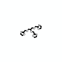 C1COC(COCC(COCC2=NCCO2)OCC2=NCCO2)=N1